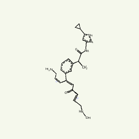 CC(C(=O)Nc1cc(C2CC2)[nH]n1)c1cccc(C(=CC(=O)/C=C/CNO)/C=C\CN)c1